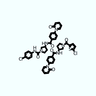 O=C(NC1CCN(C(=O)Nc2ccc(Cl)cc2)C1)c1ccc(-n2ccccc2=O)cc1.O=C(NC1CCN(C(=O)c2ccc(Cl)s2)C1)c1ccc(-n2ccccc2=O)cc1